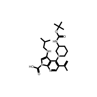 C=C(C)c1cnc2c(c(NCC(C)C)cn2C(=O)O)c1N1CCCC(NC(=O)OC(C)(C)C)C1